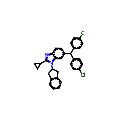 Clc1ccc(C(c2ccc(Cl)cc2)c2ccc3nc(C4CC4)n(C4Cc5ccccc5C4)c3c2)cc1